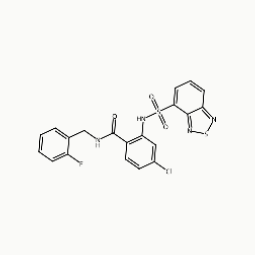 O=C(NCc1ccccc1F)c1ccc(Cl)cc1NS(=O)(=O)c1cccc2nsnc12